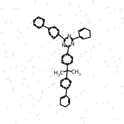 CC(C)(c1ccc(C2=CCCC=C2)cc1)c1ccc(-c2nc(C3=CCCC=C3)nc(-c3ccc(-c4ccccc4)cc3)n2)cc1